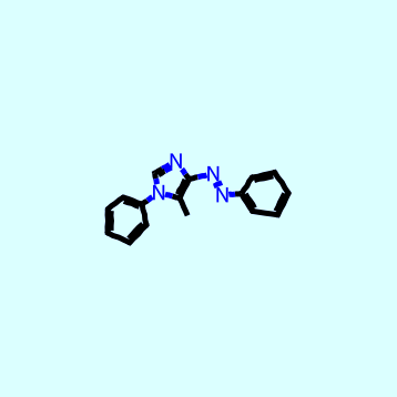 Cc1c(/N=N/c2ccccc2)ncn1-c1ccccc1